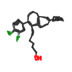 COc1ccc2c(c1)CCCC(c1ccc(F)c(F)c1)=C2C#CCCCCO